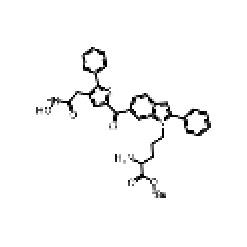 CC(C)(C)OC(=O)C(N)CCCn1c(-c2ccccc2)cc2ccc(C(=O)c3cc(CC(=O)NO)c(-c4ccccc4)s3)cc21